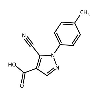 Cc1ccc(-n2ncc(C(=O)O)c2C#N)cc1